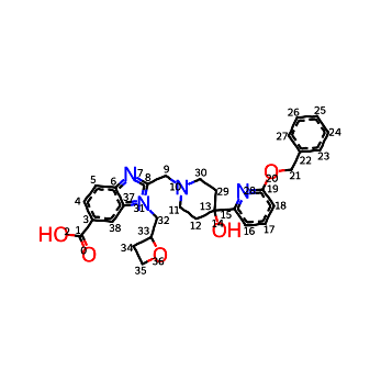 O=C(O)c1ccc2nc(CN3CCC(O)(c4cccc(OCc5ccccc5)n4)CC3)n(CC3CCO3)c2c1